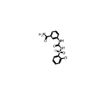 NC(=O)c1cccc(NC(=O)NS(=O)(=O)c2ccccc2Cl)c1